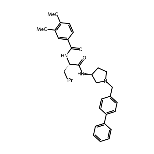 COc1ccc(C(=O)N[C@@H](CC(C)C)C(=O)N[C@H]2CCN(Cc3ccc(-c4ccccc4)cc3)C2)cc1OC